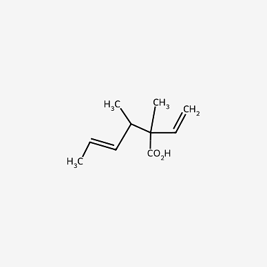 C=CC(C)(C(=O)O)C(C)C=CC